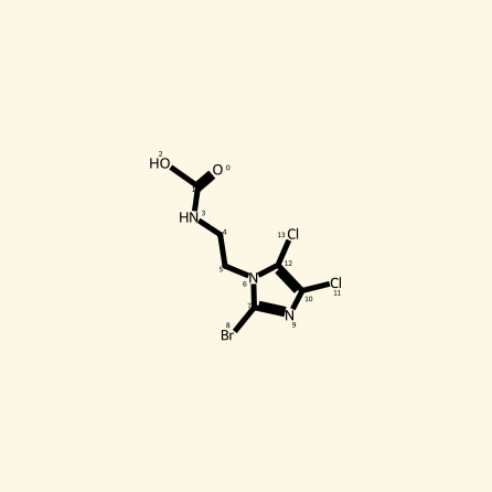 O=C(O)NCCn1c(Br)nc(Cl)c1Cl